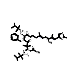 C/C(=C\C[C@H](O)/C(C)=C/c1csc(C)n1)CCC[C@H](C)[C@H](O[SiH2]C(C)(C)C(C)C)[C@@H](Cc1ccccc1)C(=O)C(C)(C)[C@H](CC(=O)O)O[SiH2]C(C)(C)C(C)C